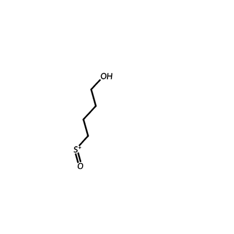 O=[S+]CCCCO